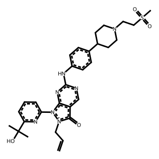 C=CCn1c(=O)c2cnc(Nc3ccc(C4CCN(CCS(C)(=O)=O)CC4)cc3)nc2n1-c1cccc(C(C)(C)O)n1